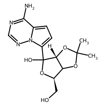 CC1(C)OC2[C@@H](O1)C(O)(c1ccc3c(N)ncnn13)O[C@@H]2CO